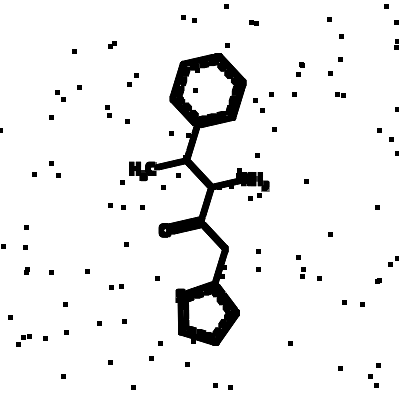 CC(c1ccccc1)C(N)C(=O)Cc1cccs1